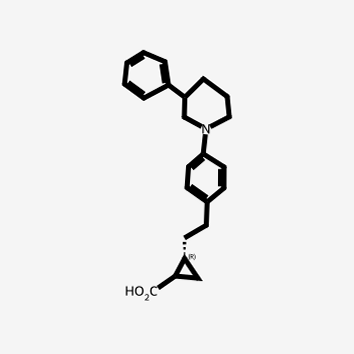 O=C(O)C1C[C@H]1CCc1ccc(N2CCCC(c3ccccc3)C2)cc1